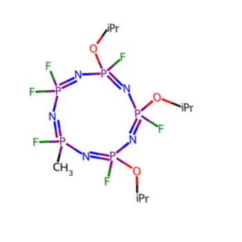 CC(C)OP1(F)=NP(C)(F)=NP(F)(F)=NP(F)(OC(C)C)=NP(F)(OC(C)C)=N1